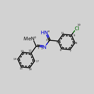 CN/C(=N\C(=N)c1cccc(Cl)c1)c1ccccc1